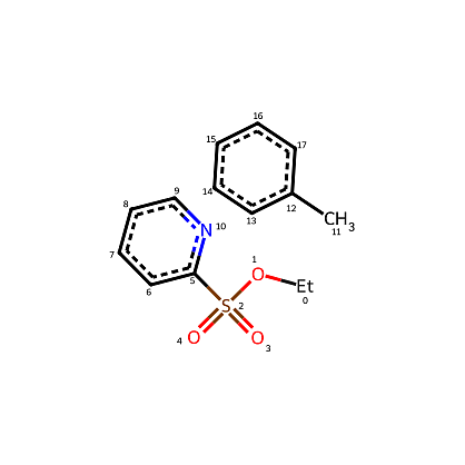 CCOS(=O)(=O)c1ccccn1.Cc1ccccc1